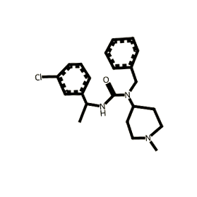 CC(NC(=O)N(Cc1ccccc1)C1CCN(C)CC1)c1cccc(Cl)c1